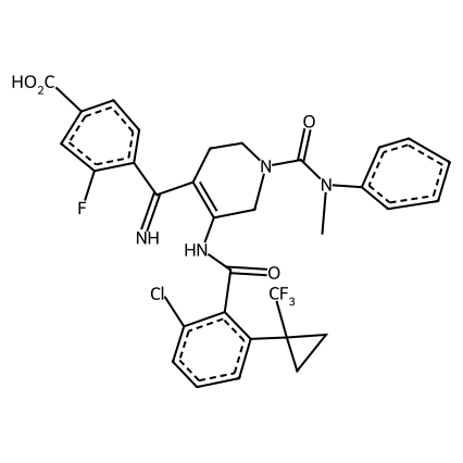 CN(C(=O)N1CCC(C(=N)c2ccc(C(=O)O)cc2F)=C(NC(=O)c2c(Cl)cccc2C2(C(F)(F)F)CC2)C1)c1ccccc1